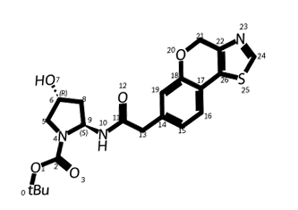 CC(C)(C)OC(=O)N1C[C@H](O)C[C@H]1NC(=O)Cc1ccc2c(c1)OCc1ncsc1-2